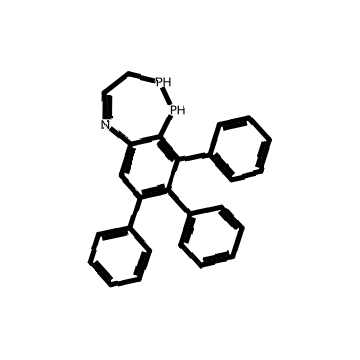 C1=Nc2cc(-c3ccccc3)c(-c3ccccc3)c(-c3ccccc3)c2PPC1